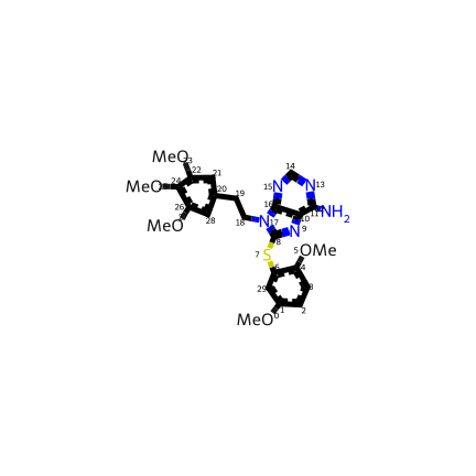 COc1ccc(OC)c(Sc2nc3c(N)ncnc3n2CCc2cc(OC)c(OC)c(OC)c2)c1